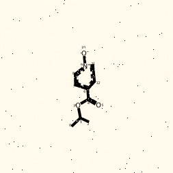 CC(C)OC(=O)c1cc[n+]([O-])cc1